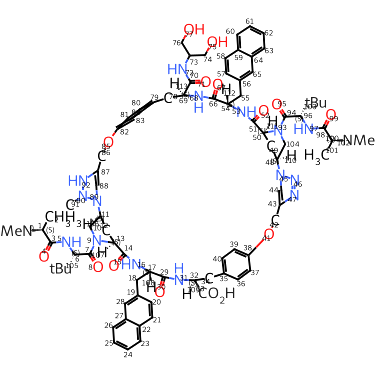 CN[C@@H](C)C(=O)N[C@H](C(=O)N1C[C@@H]2C[C@H]1C(=O)N[C@@H](Cc1ccc3ccccc3c1)C(=O)N[C@H](C(=O)O)Cc1ccc(cc1)OCc1cn(nn1)[C@H]1C[C@@H](C(=O)N[C@@H](Cc3ccc4ccccc4c3)C(=O)N[C@H](C(=O)NC(CO)CO)Cc3ccc(cc3)OCC3=CN2N(C)N3)N(C(=O)[C@@H](NC(=O)[C@H](C)NC)C(C)(C)C)C1)C(C)(C)C